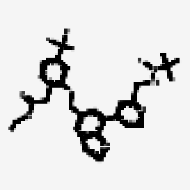 CCOC(=O)Cc1ccc(C(F)(F)F)cc1OCc1cc(-c2ccnc(CN[S+]([O-])C(C)(C)C)c2)c2occc2c1